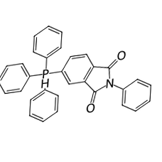 O=C1c2ccc([PH](c3ccccc3)(c3ccccc3)c3ccccc3)cc2C(=O)N1c1ccccc1